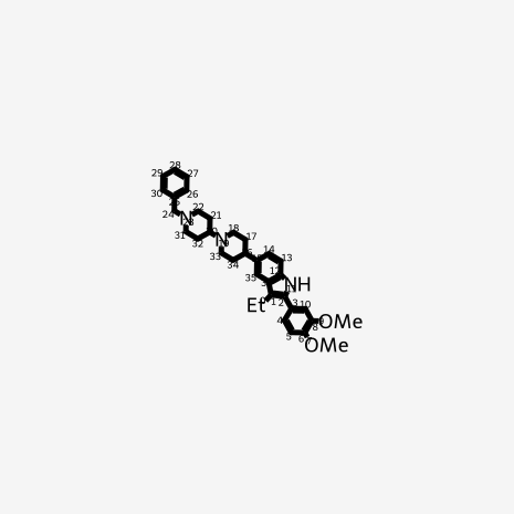 CCc1c(-c2ccc(OC)c(OC)c2)[nH]c2ccc(C3CCN(C4CCN(Cc5ccccc5)CC4)CC3)cc12